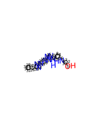 OC1CCC(NCc2cccc(Nc3ncnc(N4CCN(c5ncc(Cc6ccccc6)cn5)CC4)n3)c2)C1